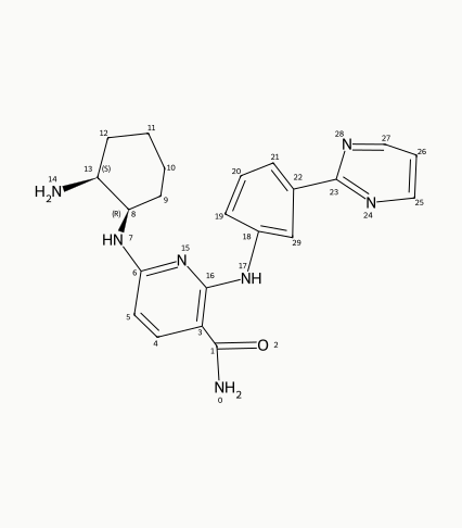 NC(=O)c1ccc(N[C@@H]2CCCC[C@@H]2N)nc1Nc1cccc(-c2ncccn2)c1